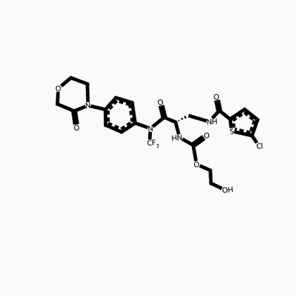 O=C(N[C@@H](CNC(=O)c1ccc(Cl)s1)C(=O)N(c1ccc(N2CCOCC2=O)cc1)C(F)(F)F)OCCO